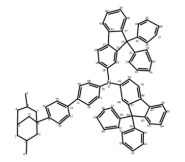 CC1CC2CC(C)CC(c3ccc(-c4ccc(N(c5ccc6c(c5)C(c5ccccc5)(c5ccccc5)c5ccccc5-6)c5ccc6c(c5)C(c5ccccc5)(c5ccccc5)c5ccccc5-6)cc4)cc3)(C1)C2